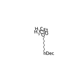 CCCCCCCCCCCCCCCCCCOC(=O)C(C)(C)CC